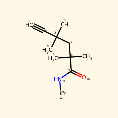 C#CC(C)(C)CC(C)(C)C(=O)NC(C)C